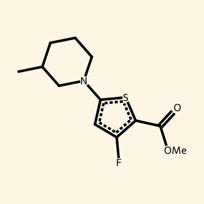 COC(=O)c1sc(N2CCCC(C)C2)cc1F